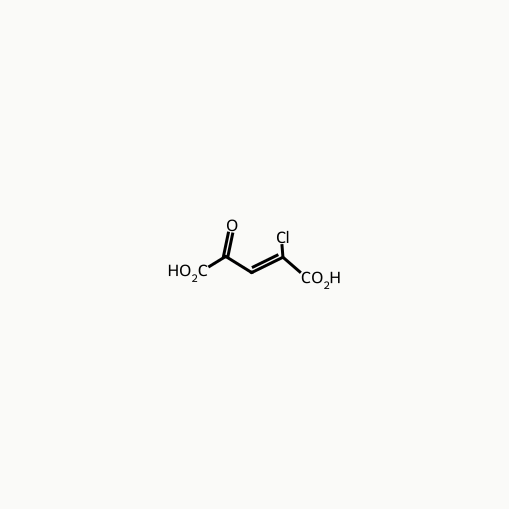 O=C(O)C(=O)C=C(Cl)C(=O)O